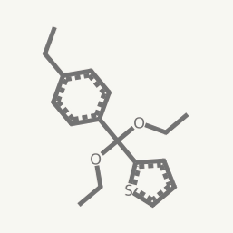 CCOC(OCC)(c1ccc(CC)cc1)c1cccs1